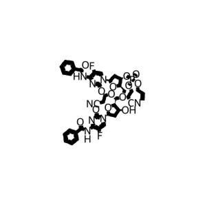 C=CCOP(=O)(OCCC#N)O[C@H]1C[C@H](n2cc(F)c(NC(=O)c3ccccc3)nc2=O)O[C@@H]1COC(OCCC#N)[C@H]1O[C@@H](n2cc(F)c(NC(=O)c3ccccc3)nc2=O)C[C@@H]1O